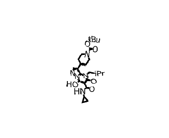 CC(C)Cn1c(=O)c(C(=O)NC2CC2)c(O)n2ncc(C3=CCN(C(=O)OC(C)(C)C)CC3)c12